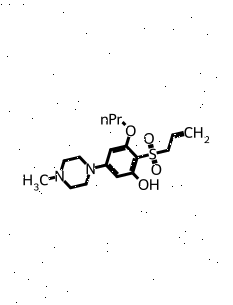 C=CCS(=O)(=O)c1c(O)cc(N2CCN(C)CC2)cc1OCCC